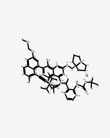 COCOc1cc(-c2nc3c4c(nc(OC[C@@]56CCCN5C[C@H](F)C6)nc4c2F)N(C(C)c2nccnc2NC(=O)OC(C)(C)C)CCO3)c2c(C#C[Si](C(C)C)(C(C)C)C(C)C)c(F)ccc2c1